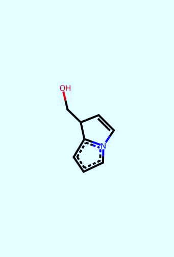 OCC1C=Cn2cccc21